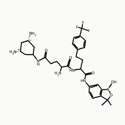 CC1(C)OB(O)c2cc(NC(=O)C(CCc3ccc(C(F)(F)F)cc3)NC(=O)C(N)CCC(=O)NC3C[C@@H](N)C[C@@H](N)C3)ccc21